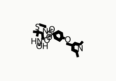 Cc1cc(COc2ccc(S(=O)(=O)N3CCSC(C)(C)C3C(=O)NO)cc2)cc(C)n1